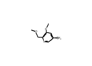 Bc1cnc(COC)c(OC)c1